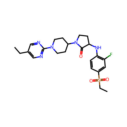 CCc1cnc(N2CCC(N3CCC(Nc4ccc(S(=O)(=O)CC)cc4F)C3=O)CC2)nc1